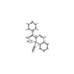 CC1(C#N)c2ccccc2C=CN1C(=O)c1ccccc1